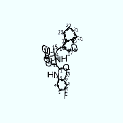 O=C(Nc1ccc(F)cc1F)C(=O)NC(Cc1coc2ccccc12)B(O)O